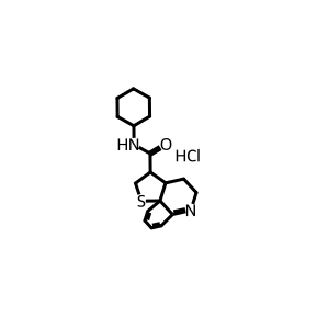 Cl.O=C(NC1CCCCC1)C1CSC23C=CC=CC2=NCCC13